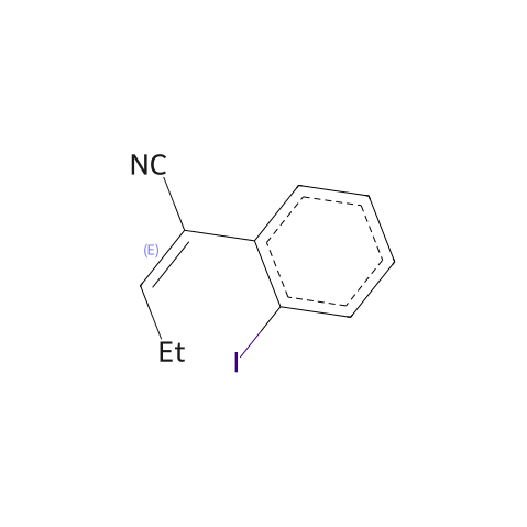 CC/C=C(/C#N)c1ccccc1I